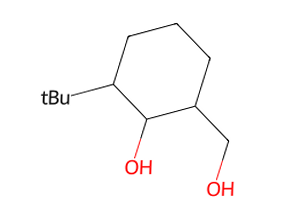 CC(C)(C)C1CCCC(CO)C1O